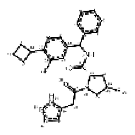 O=C(NC(c1ccccc1)c1ccc(C2CCC2)c(F)c1)[C@@H]1C[C@@H](F)CN1C(=O)Cc1cnn[nH]1